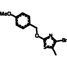 COc1ccc(COc2nc(Br)c(C)s2)cc1